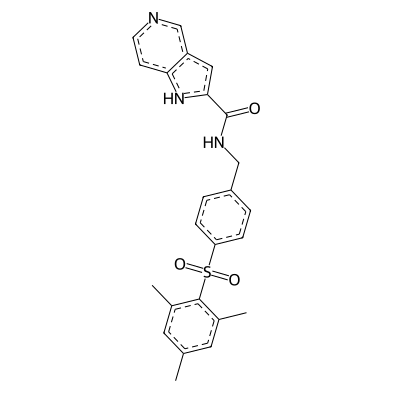 Cc1cc(C)c(S(=O)(=O)c2ccc(CNC(=O)c3cc4cnccc4[nH]3)cc2)c(C)c1